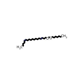 CCCC/C=C\CCCCCCCC/C=C/CCOCOCCCCCCC